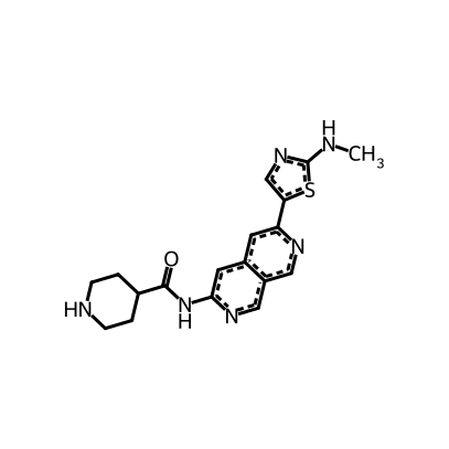 CNc1ncc(-c2cc3cc(NC(=O)C4CCNCC4)ncc3cn2)s1